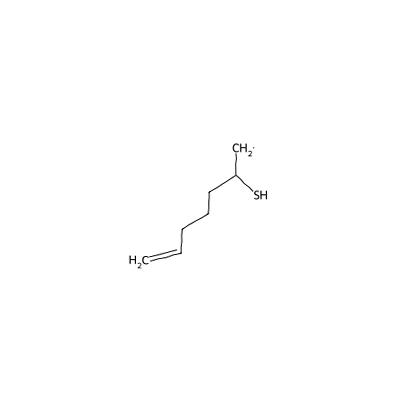 [CH2]C(S)CCCC=C